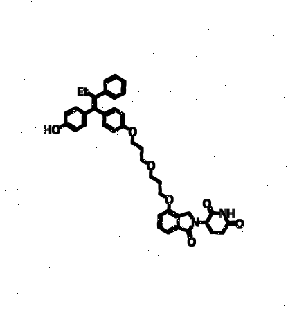 CCC(=C(c1ccc(O)cc1)c1ccc(OCCCOCCCOc2cccc3c2CN(C2CCC(=O)NC2=O)C3=O)cc1)c1ccccc1